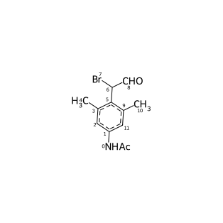 CC(=O)Nc1cc(C)c(C(Br)C=O)c(C)c1